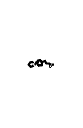 CN(C)CCCc1ccc(N2CCCCC2)cc1